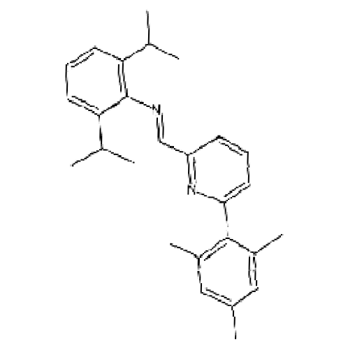 Cc1cc(C)c(-c2cccc(/C=N/c3c(C(C)C)cccc3C(C)C)n2)c(C)c1